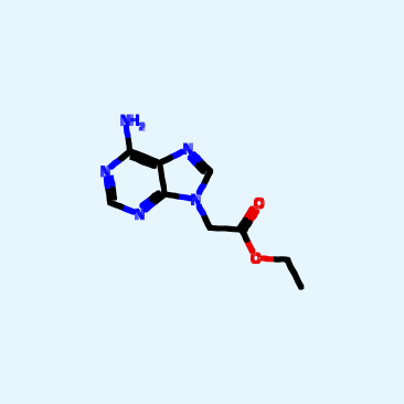 CCOC(=O)Cn1cnc2c(N)ncnc21